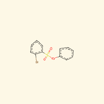 O=S(=O)(Oc1ccccc1)c1ccccc1Br